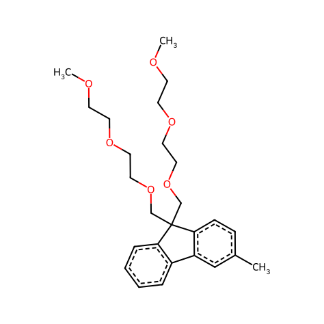 COCCOCCOCC1(COCCOCCOC)c2ccccc2-c2cc(C)ccc21